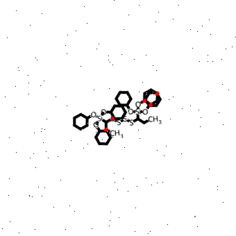 CCC(SSSSC(CC)[Si](OC1CCCCC1)(OC1CCCCC1)OC1CCCCC1)[Si](OC1CCCCC1)(OC1CCCCC1)OC1CCCCC1